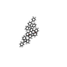 c1ccc(-c2cccc([Si](c3ccccc3)(c3ccccc3)c3cc(-c4ccccc4)c(-n4c5ccccc5c5cc(-c6cccc7c6c6ccccc6n7-c6ccccc6)ccc54)c(-c4ccccc4)c3)c2)cc1